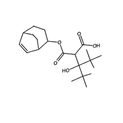 CC(C)(C)C(O)(C(C(=O)O)C(=O)OC1CCC2C=CC1CC2)C(C)(C)C